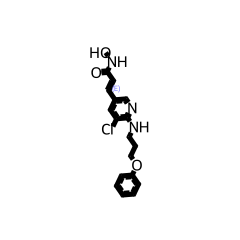 O=C(/C=C/c1cnc(NCCCOc2ccccc2)c(Cl)c1)NO